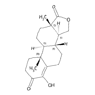 C[C@]12CCC(=O)C(O)=C1CC[C@@H]1[C@@H]2CC[C@]2(C)C(=O)OC[C@@H]12